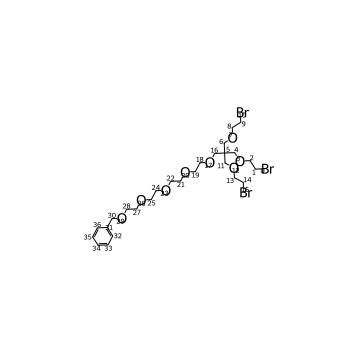 BrCCOCC(COCCBr)(COCCBr)COCCOCCOCCOCCOCc1ccccc1